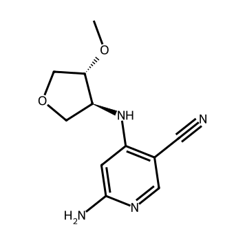 CO[C@H]1COC[C@@H]1Nc1cc(N)ncc1C#N